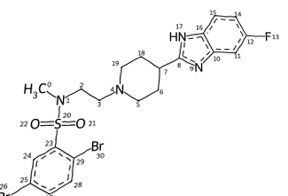 CN(CCN1CCC(c2nc3cc(F)ccc3[nH]2)CC1)S(=O)(=O)c1cc(Br)ccc1Br